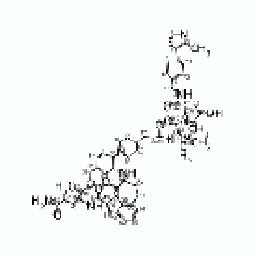 Cc1ncsc1-c1ccc(CNC(=O)[C@@H]2C[C@@H](O)CN2C(=O)[C@@H](NC(=O)CCC2CCN(c3ccc(CO[C@H](C)[C@H](CCC(N)=O)NC(=O)[C@@H]4Cc5cccc6c5N4C(=O)[C@@H](N)CC6)cc3)CC2)C(C)(C)C)cc1